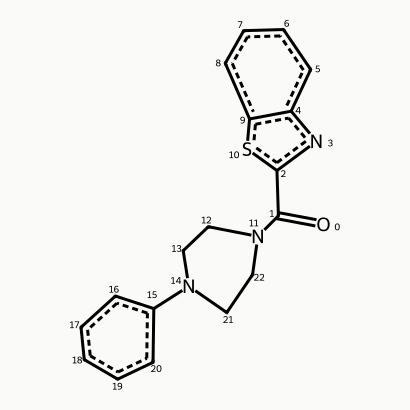 O=C(c1nc2ccccc2s1)N1CCN(c2ccccc2)CC1